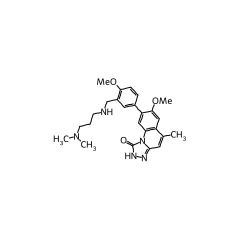 COc1ccc(-c2cc3c(cc2OC)c(C)cc2n[nH]c(=O)n23)cc1CNCCCN(C)C